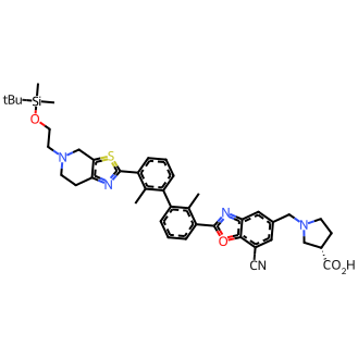 Cc1c(-c2nc3cc(CN4CC[C@H](C(=O)O)C4)cc(C#N)c3o2)cccc1-c1cccc(-c2nc3c(s2)CN(CCO[Si](C)(C)C(C)(C)C)CC3)c1C